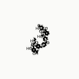 CCNC(=O)c1nnc(-c2cc(C(C)C)c(O)cc2O)n1-c1ccc(CN2CCC(C(=O)N3CCC(N(C(=O)O)c4cccc5c4CN(C4CCC(=O)NC4=O)C5=O)CC3)CC2)cc1